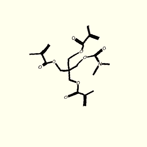 C=C(C)C(=O)OCC(COC(=O)C(=C)C)(COC(=O)C(=C)C)COC(=O)N(C)C